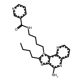 CCCCc1nc2c(N)nc3cccnc3c2n1CCCCNC(=O)c1cccnc1